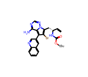 C=C[C@@H](Cc1c(Br)c(-c2cnc3ccccc3c2)c2c(N)ncnn12)NC(=O)OC(C)(C)C